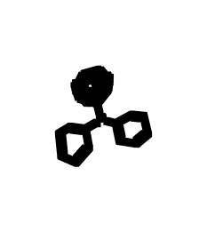 c1ccc(P(c2ccccc2)[C]23[CH]4[CH]5[CH]6[CH]2[Fe]56432789[CH]3[CH]2[CH]7[CH]8[CH]39)cc1